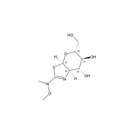 CON(C)C1=N[C@@H]2[C@@H](O)[C@H](O)[C@@H](CO)O[C@@H]2S1